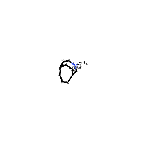 COC1CC2CCCC1CN(C)CC2